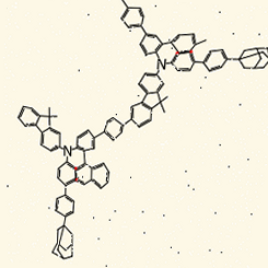 Cc1ccc(-c2ccc(N(c3ccc(-c4ccc(C56CC7CC(CC(C7)C5)C6)cc4)cc3)c3ccc4c(c3)C(C)(C)c3ccc(-c5ccc(-c6ccc(N(c7ccc(-c8ccc(C9%10CC%11CC(CC(C%11)C9)C%10)cc8)cc7)c7ccc8c(c7)C(C)(C)c7ccccc7-8)c(-c7cccc8ccccc78)c6)cc5)cc3-4)c(-c3ccc(C)cc3)c2)cc1